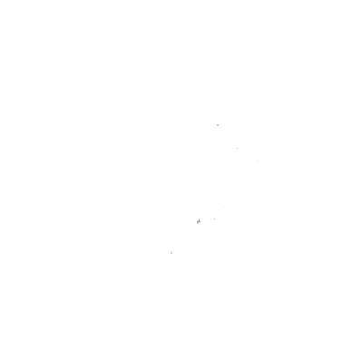 CC(C)(C)NCC(O)c1ccc(O)c(CO)c1.CC(C)[N+]1(C)C2CCC1CC(OC(=O)C(CO)c1ccccc1)C2.O=S(=O)(O)O.[Br-]